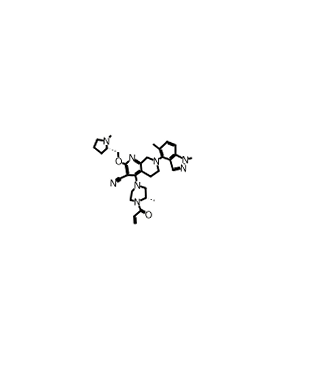 C=CC(=O)N1CCN(c2c(C#N)c(OC[C@@H]3CCCN3C)nc3c2CCN(c2c(C)ccc4c2cnn4C)C3)C[C@@H]1C